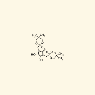 CC1(C)COP(=O)(Cn2c(O)c(O)n(CP3(=O)OCC(C)(C)CO3)c2=O)OC1